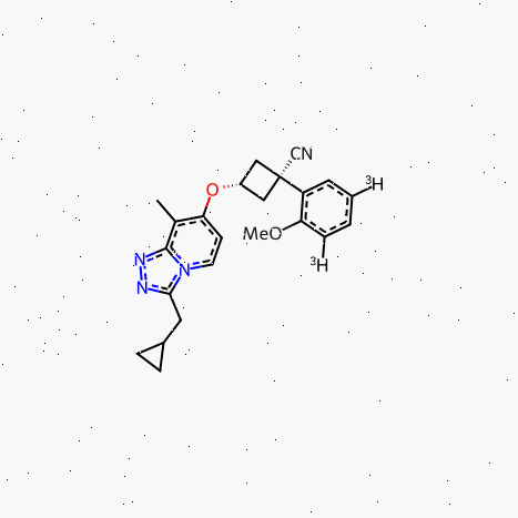 [3H]c1cc([3H])c(OC)c([C@]2(C#N)C[C@@H](Oc3ccn4c(CC5CC5)nnc4c3C)C2)c1